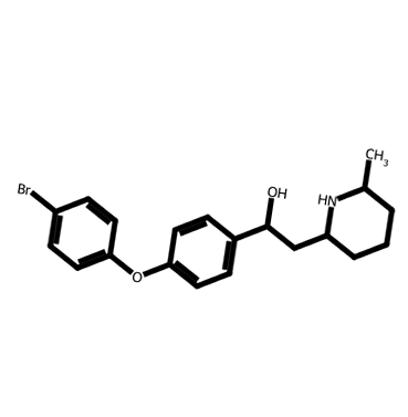 CC1CCCC(CC(O)c2ccc(Oc3ccc(Br)cc3)cc2)N1